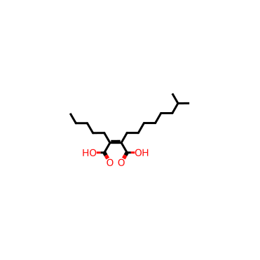 CCCCC/C(C(=O)O)=C(\CCCCCCC(C)C)C(=O)O